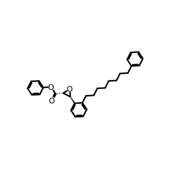 O=C(Oc1ccccc1)[C@@H]1O[C@H]1c1ccccc1CCCCCCCCc1ccccc1